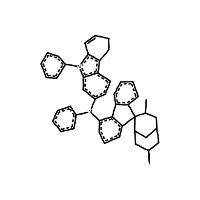 CC1CC2CC(C)C3(c4ccccc4-c4c(N(c5ccccc5)c5ccc6c7c(n(-c8ccccc8)c6c5)C=CCC7)cccc43)C(C1)C2